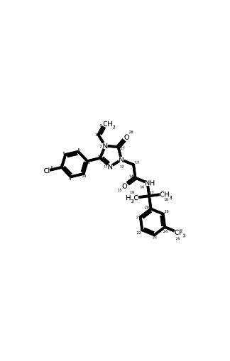 C=Cn1c(-c2ccc(Cl)cc2)nn(CC(=O)NC(C)(C)c2cccc(C(F)(F)F)c2)c1=O